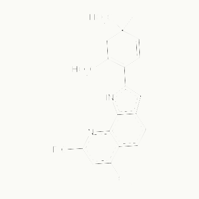 CC1(C(=O)O)C=CC(c2cc3ccc4c(C(F)(F)F)cc(C(F)(F)F)nc4c3[nH]2)=C(C(=O)O)C1